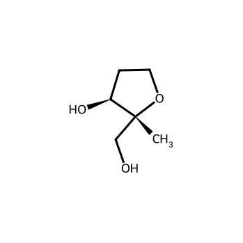 C[C@]1(CO)OCC[C@@H]1O